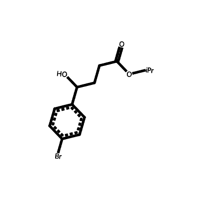 CC(C)OC(=O)CCC(O)c1ccc(Br)cc1